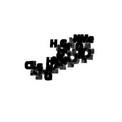 CNCCN(C)C(=O)c1cc(-n2ccccc2=O)ccc1-n1cc(CNC(=O)C2=CCC(Cl)S2)nn1